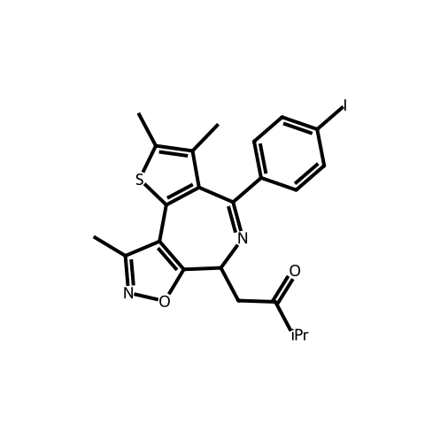 Cc1noc2c1-c1sc(C)c(C)c1C(c1ccc(I)cc1)=NC2CC(=O)C(C)C